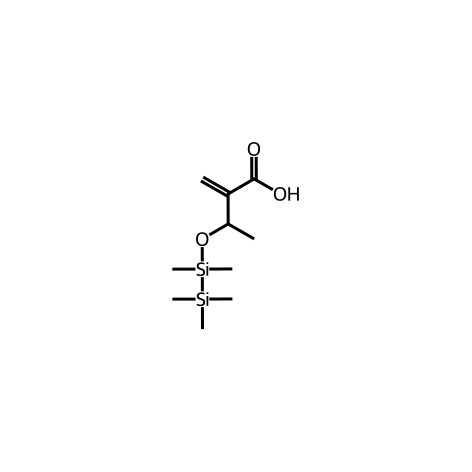 C=C(C(=O)O)C(C)O[Si](C)(C)[Si](C)(C)C